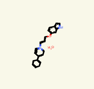 C1=CCC(C2=CCN(CCCOc3ccc4cc[nH]c4c3)C=C2)=CC1.O